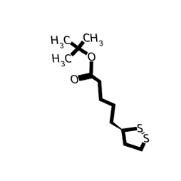 CC(C)(C)OC(=O)CCCC[C@@H]1CCSS1